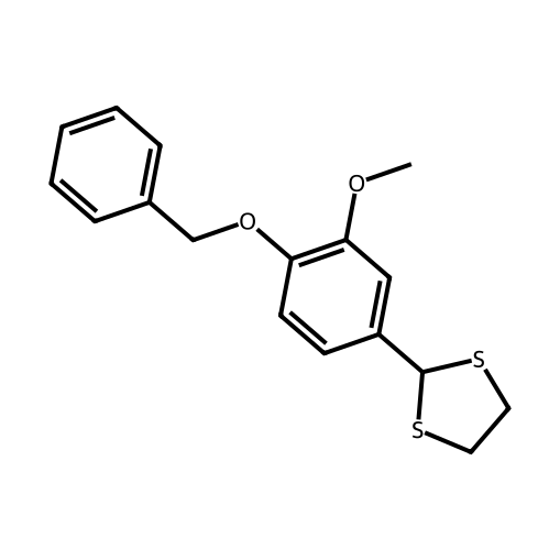 COc1cc(C2SCCS2)ccc1OCc1ccccc1